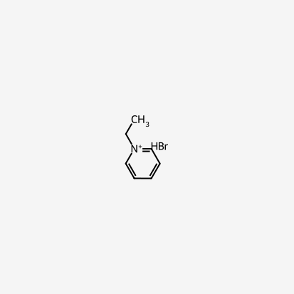 Br.CC[n+]1ccccc1